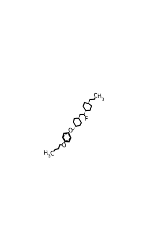 CCCCOc1ccc(OC[C@H]2CC[C@H](CC(F)[C@H]3CC[C@H](CCC)CC3)CC2)cc1